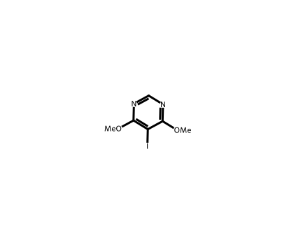 COc1ncnc(OC)c1I